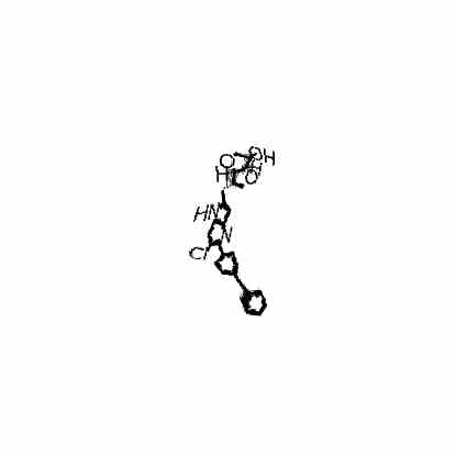 O[C@@H]1CO[C@@H]2[C@@H](Cc3cc4nc(-c5ccc(-c6ccccc6)cc5)c(Cl)cc4[nH]3)CO[C@@H]21